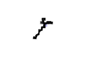 CN/C(=N/CCSCCC(C)=O)NC#N